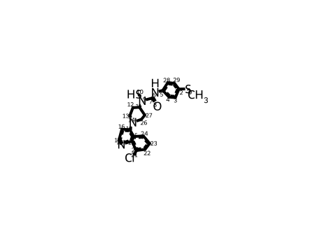 CSc1ccc(NC(=O)N(S)C2CCN(c3ccnc4c(Cl)cccc34)CC2)cc1